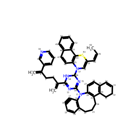 C=C(CCC(=C)c1cccnc1)C1=NC(N2c3c#cccc3CCCc3c2ccc2c3CCC=C2)=NC(N2C=C(/C=C\C)Sc3c2ccc2ccccc32)N1